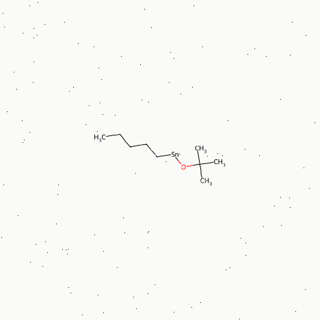 CCCC[CH2][Sn][O]C(C)(C)C